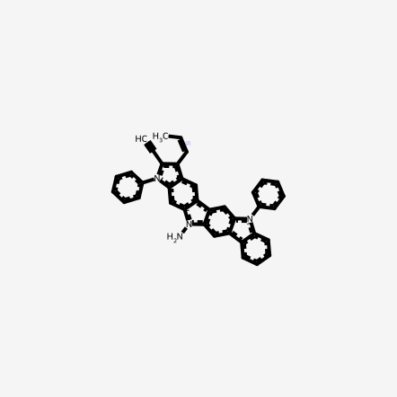 C#Cc1c(/C=C\C)c2cc3c4cc5c(cc4n(N)c3cc2n1-c1ccccc1)c1ccccc1n5-c1ccccc1